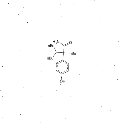 CCCCC(CCCC)C(CCCC)(C(N)=O)c1ccc(O)cc1